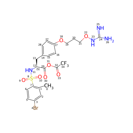 Cc1cc(Br)ccc1S(=O)(=O)N[C@@H](Cc1ccc(OCCCONC(=N)N)cc1)C(=O)OC(=O)C(F)(F)F